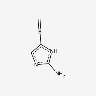 C=Bc1cnc(N)[nH]1